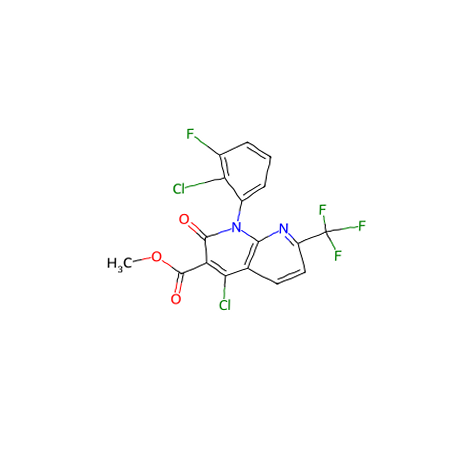 COC(=O)c1c(Cl)c2ccc(C(F)(F)F)nc2n(-c2cccc(F)c2Cl)c1=O